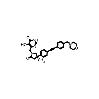 CC1(c2ccc(C#Cc3ccc(CN4CCOCC4)cc3)cc2)CC(=O)N(Cc2nc[nH]c(=O)c2O)C1